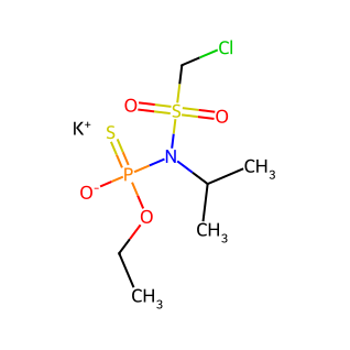 CCOP([O-])(=S)N(C(C)C)S(=O)(=O)CCl.[K+]